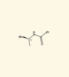 CC(C)C(=O)N[C@@H](C)C(C)(C)C